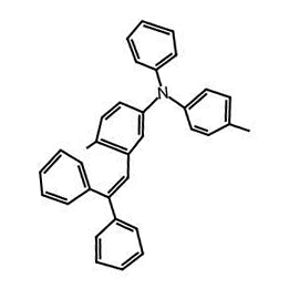 Cc1ccc(N(c2ccccc2)c2ccc(C)c(C=C(c3ccccc3)c3ccccc3)c2)cc1